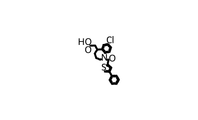 O=C(O)CC1CCCN(C(=O)c2cc(-c3ccccc3)cs2)c2ccc(Cl)cc21